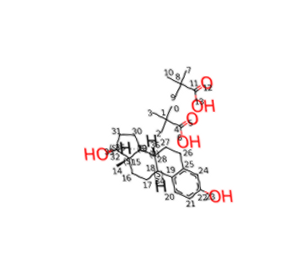 CC(C)(C)C(=O)O.CC(C)(C)C(=O)O.C[C@]12CC[C@@H]3c4ccc(O)cc4CC[C@H]3[C@@H]1CC[C@@H]2O